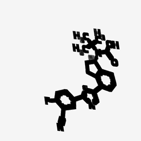 CC(C)(C)N(C(=O)O)[C@H]1CCc2c(-c3cnc(-c4ccc(F)c(C#N)c4)s3)cccc21